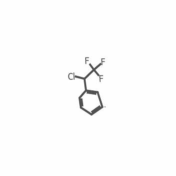 FC(F)(F)C(Cl)c1c[c]ccc1